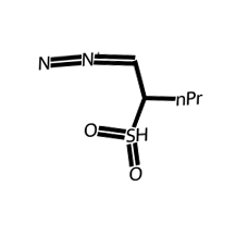 CCCC(C=[N+]=[N-])[SH](=O)=O